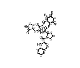 O=C(Nc1ccccc1F)C(=O)N1CCCC1C(=O)NC(CC1CCNC1=O)C(=O)COc1c(F)c(F)cc(F)c1F